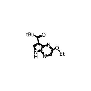 CCOc1cnc2[nH]cc(C(=O)C(C)(C)C)c2n1